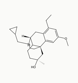 CCc1cc(OC)cc2c1C[C@@H]1[C@@H]3CC[C@](C)(O)C[C@]23CCN1CC1CC1